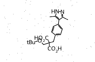 Cc1n[nH]c(C)c1-c1ccc(CC(COC(C)(C)C)(C(=O)O)C(=O)O)cc1